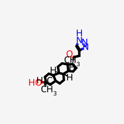 CC1(O)CC[C@@]2(C)C(CC[C@H]3[C@@H]4CC[C@H](C(=O)Cc5c[nH]nn5)[C@@]4(C)CC[C@@H]32)C1